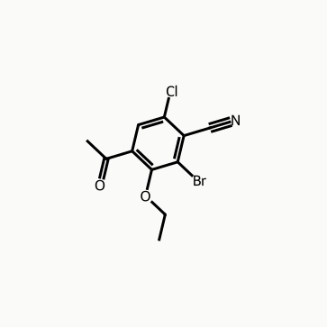 CCOc1c(C(C)=O)cc(Cl)c(C#N)c1Br